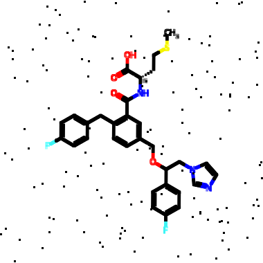 CSCC[C@H](NC(=O)c1cc(COC(Cn2ccnc2)c2ccc(F)cc2)ccc1Cc1ccc(F)cc1)C(=O)O